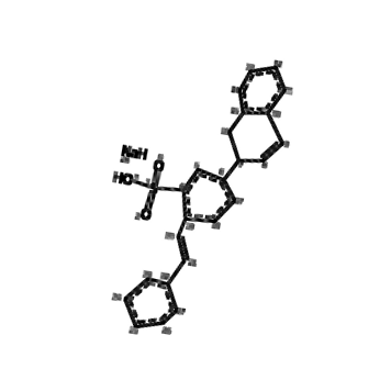 O=S(=O)(O)c1cc(C2C=Cc3ccccc3C2)ccc1C=Cc1ccccc1.[NaH]